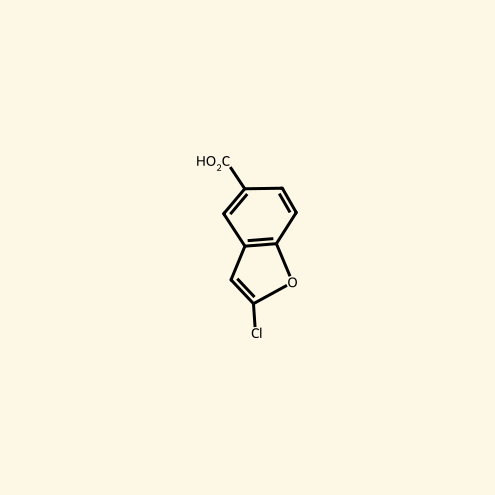 O=C(O)c1ccc2oc(Cl)cc2c1